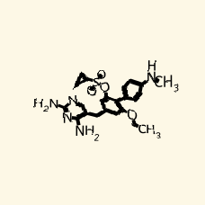 CCOc1cc(Cc2cnc(N)nc2N)cc(OS(=O)(=O)C2CC2)c1-c1ccc(NC)cc1